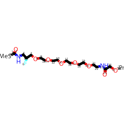 CSC(=O)NCC(F)COCCOCCOCCOCCOCCNC(=O)COC(C)C